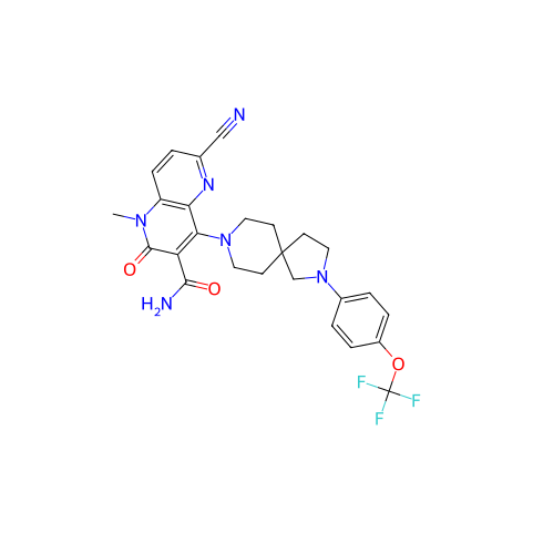 Cn1c(=O)c(C(N)=O)c(N2CCC3(CCN(c4ccc(OC(F)(F)F)cc4)C3)CC2)c2nc(C#N)ccc21